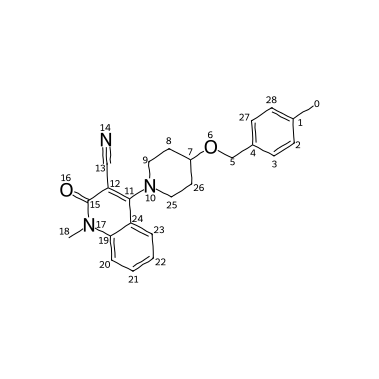 Cc1ccc(COC2CCN(c3c(C#N)c(=O)n(C)c4ccccc34)CC2)cc1